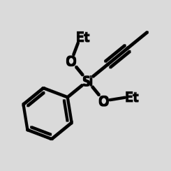 CC#C[Si](OCC)(OCC)c1ccccc1